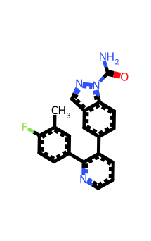 Cc1cc(-c2ncccc2-c2ccc3c(cnn3C(N)=O)c2)ccc1F